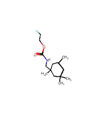 CC1CC(C)(C)CC(C)(CNC(=O)OCCF)C1